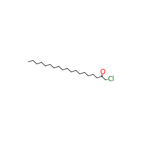 CCCCCCCCCCCCCCCCCC(=O)CCl